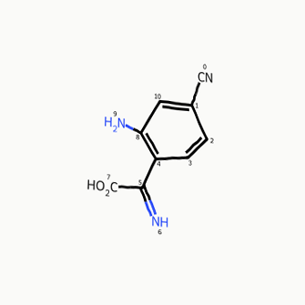 N#Cc1ccc(C(=N)C(=O)O)c(N)c1